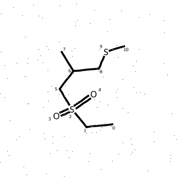 CCS(=O)(=O)C[C](C)CSC